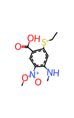 CCSc1cc(NC)c([N+](=O)OC)cc1C(=O)O